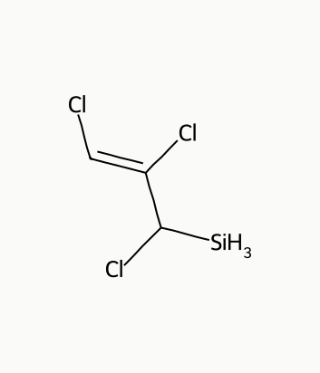 [SiH3]C(Cl)C(Cl)=CCl